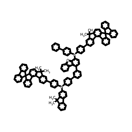 CC1(C)c2ccccc2-c2ccc(N(c3ccc(-c4cccc(-c5ccc(N(c6ccc(-c7ccccc7)cc6)c6ccc(-c7ccc8c(c7)C(C)(C)c7ccc9c(c7-8)-c7ccccc7C97c8ccccc8-c8ccccc87)cc6)c6oc7ccccc7c56)c4)cc3)c3ccc(-c4ccc5c(c4)C(C)(C)c4ccc6c(c4-5)-c4ccccc4C64c5ccccc5-c5ccccc54)cc3)cc21